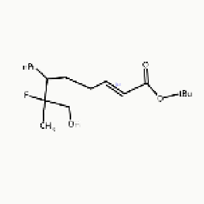 CCCC(CC/C=C/C(=O)OC(C)(C)C)C(C)(F)CO